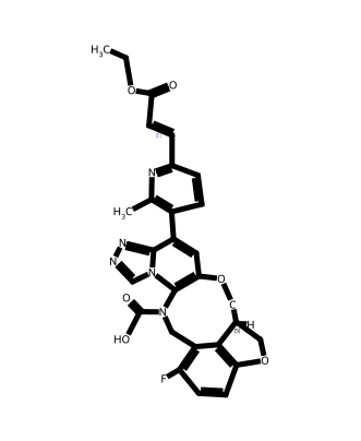 CCOC(=O)/C=C/c1ccc(-c2cc3c(n4cnnc24)N(C(=O)O)Cc2c(F)ccc4c2[C@@H](CO4)CO3)c(C)n1